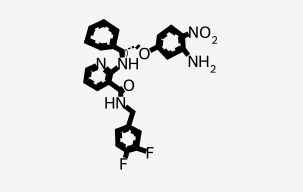 Nc1cc(OC[C@H](Nc2ncccc2C(=O)NCc2ccc(F)c(F)c2)c2ccccc2)ccc1[N+](=O)[O-]